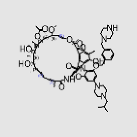 CO[C@H]1/C=C/O[C@@]2(C)Oc3c(C)c(O)c4c(=O)c(c5oc6cc(N7CCN(CC(C)C)CC7)cc(OCc7cccc(CN8CCNCC8)c7)c6nc-5c4c3C2=O)NC(=O)/C(C)=C\C=C\[C@H](C)[C@H](O)[C@@H](C)[C@@H](O)[C@@H](C)[C@H](OC(C)=O)[C@@H]1C